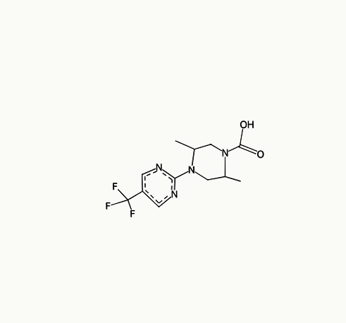 CC1CN(c2ncc(C(F)(F)F)cn2)C(C)CN1C(=O)O